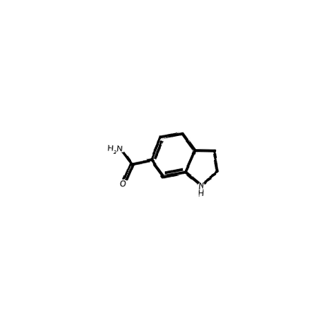 NC(=O)C1=CCC2CCNC2=C1